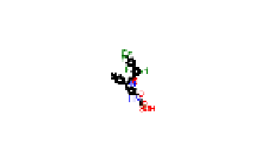 CC(C)(C)c1ccc(C(Cc2ccc(C(=O)NCCS(=O)(=O)O)cc2)c2cc(-c3cc(Cl)cc(-c4ccc(C(F)(F)F)cc4F)c3)on2)cc1